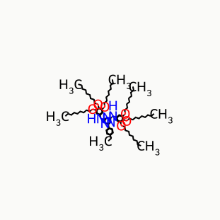 CCCCCCCCCOc1cc(Nc2nc(Nc3cc(OCCCCCCCCC)c(OCCCCCCCCC)c(OCCCCCCCCC)c3)nc(-c3ccc(CC)cc3)n2)cc(OCCCCCCCCC)c1OCCCCCCCCC